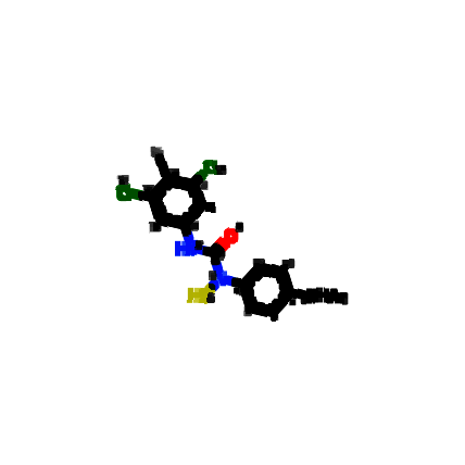 CC(=O)Nc1ccc(N(S)C(=O)Nc2cc(Cl)c(C)c(Cl)c2)cc1